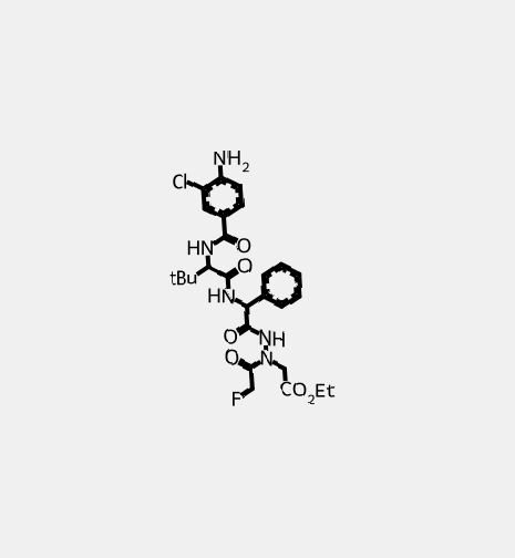 CCOC(=O)CN(NC(=O)C(NC(=O)C(NC(=O)c1ccc(N)c(Cl)c1)C(C)(C)C)c1ccccc1)C(=O)CF